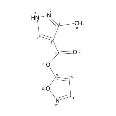 Cc1n[nH]cc1C(=O)Oc1ccno1